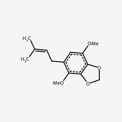 COc1cc(CC=C(C)C)c(OC)c2c1OCO2